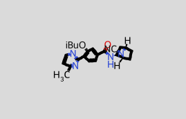 Cc1ccnc(-c2ccc(C(=O)N[C@@H]3C[C@@H]4CC[C@H]3N4C#N)cc2OCC(C)C)n1